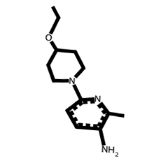 CCOC1CCN(c2ccc(N)c(C)n2)CC1